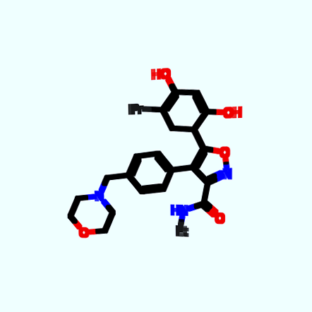 CCNC(=O)c1noc(C2CC(C(C)C)=C(O)C=C2O)c1-c1ccc(CN2CCOCC2)cc1